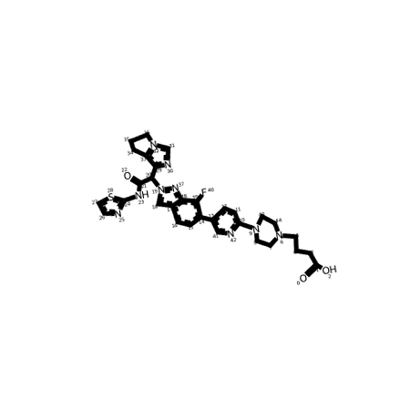 O=C(O)CCCN1CCN(c2ccc(-c3ccc4cn(C(C(=O)Nc5nccs5)c5ncn6c5CCC6)nc4c3F)cn2)CC1